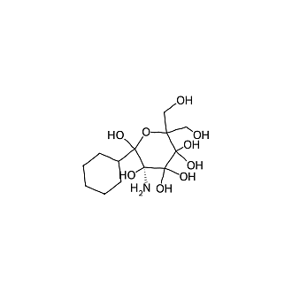 N[C@]1(O)C(O)(C2CCCCC2)OC(CO)(CO)C(O)(O)C1(O)O